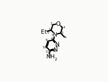 CCC1COCC(C)N1c1c[c]c(N)nn1